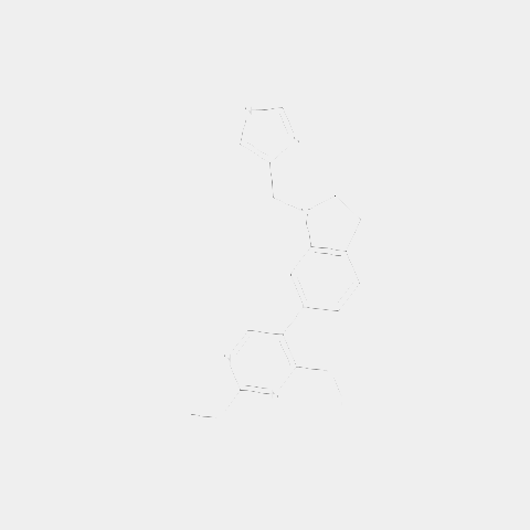 COc1ncc(-c2ccc3c(c2)N(Cc2c[nH]cn2)CC3)c(OC)n1